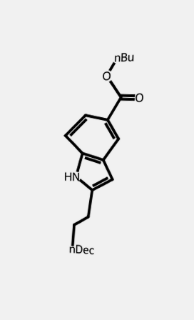 CCCCCCCCCCCCc1cc2cc(C(=O)OCCCC)ccc2[nH]1